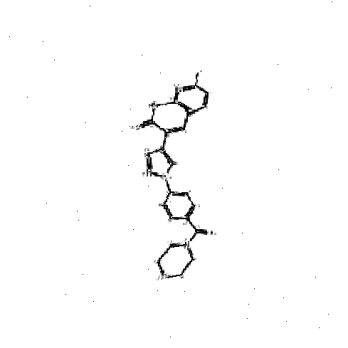 Cc1ccc2cc(-c3cn(-c4ccc(C(=O)N5CCOCC5)cc4)nn3)c(=O)[nH]c2n1